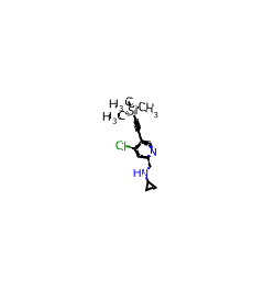 C[Si](C)(C)C#Cc1cnc(CNC2CC2)cc1Cl